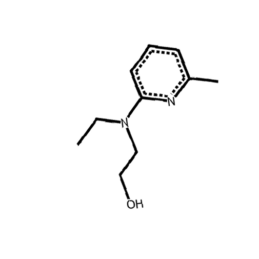 CCN(CCO)c1cccc(C)n1